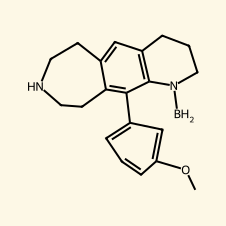 BN1CCCc2cc3c(c(-c4cccc(OC)c4)c21)CCNCC3